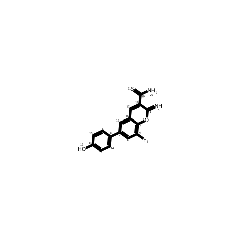 N=c1oc2c(F)cc(-c3ccc(O)cc3)cc2cc1C(N)=S